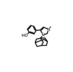 CN1C=C(c2cccc(O)c2)N(C23CC4CC(CC(C4)C2)C3)C1